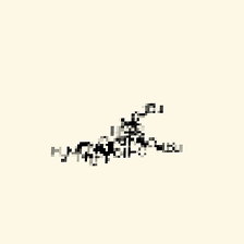 C[C@H](NP(=O)(N[C@@H](C)C(=O)OCC(C)(C)C)OC[C@H]1O[C@@H](n2ccc(N)nc2=O)C(F)(F)C1O)C(=O)OCC(C)(C)C